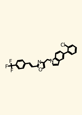 FC(F)(F)c1ccc(C=Cc2nc(Cn3ccc4cc(-c5ccccc5Cl)ccc43)co2)cc1